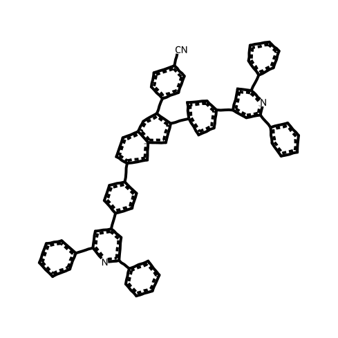 N#Cc1ccc(-c2cc3ccc(-c4ccc(-c5cc(-c6ccccc6)nc(-c6ccccc6)c5)cc4)cc3cc2-c2ccc(-c3cc(-c4ccccc4)nc(-c4ccccc4)c3)cc2)cc1